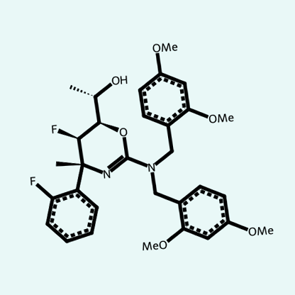 COc1ccc(CN(Cc2ccc(OC)cc2OC)C2=N[C@](C)(c3ccccc3F)[C@@H](F)[C@@H]([C@H](C)O)O2)c(OC)c1